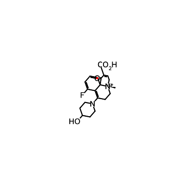 C[N@+]12CC=C(C(=O)O)C(=O)C13C=CC=C(F)C3=C(N1CCC(O)CC1)CC2